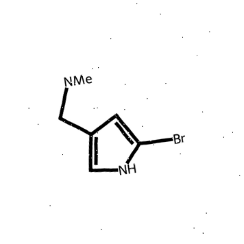 CNCc1c[nH]c(Br)c1